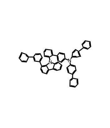 c1ccc(-c2ccc(N(c3ccc(-c4ccccc4)cc3)c3ccc(-c4ccccc4-n4c5ccccc5c5cccc(-c6cccc(-c7ccccc7)c6)c54)cc3)cc2)cc1